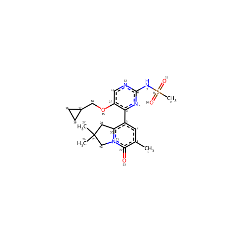 Cc1cc(-c2nc(NS(C)(=O)=O)ncc2OCC2CC2)c2n(c1=O)CC(C)(C)C2